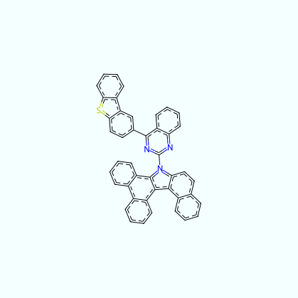 c1ccc2c(c1)ccc1c2c2c3ccccc3c3ccccc3c2n1-c1nc(-c2ccc3sc4ccccc4c3c2)c2ccccc2n1